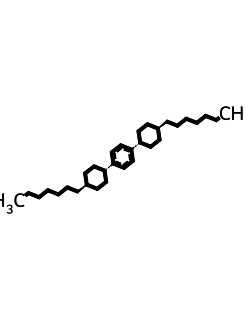 CCCCCCC[C@H]1CC[C@H](c2ccc([C@H]3CC[C@H](CCCCCCC)CC3)cc2)CC1